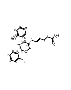 O=C(O)CCC=CC[C@@H]1CO[C@H](c2ccccc2Cl)O[C@@H]1c1ccccc1O